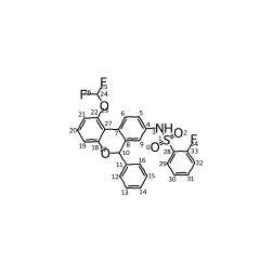 O=S(=O)(Nc1ccc2c(c1)C(c1ccccc1)Oc1cccc(OC(F)F)c1-2)c1ccccc1F